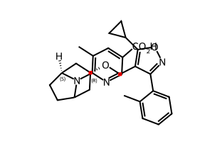 Cc1ccccc1-c1noc(C2CC2)c1CO[C@@H]1CC2CC[C@@H](C1)N2c1ncc(C(=O)O)cc1C